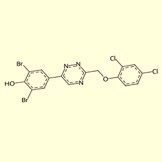 Oc1c(Br)cc(-c2cnc(COc3ccc(Cl)cc3Cl)nn2)cc1Br